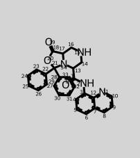 O=C(Nc1cccc2cccnc12)C1CNCC2C(=O)OC(c3ccccc3)(c3ccccc3)N12